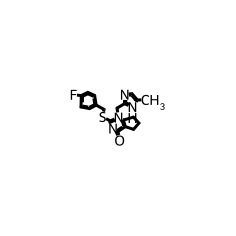 Cc1cnc(Cn2c(SCc3ccc(F)cc3)nc(=O)c3c2CCC3)[nH]1